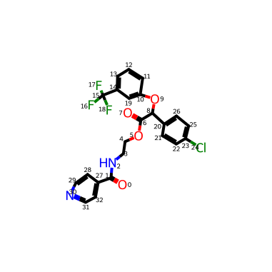 O=C(NCCOC(=O)C(Oc1cccc(C(F)(F)F)c1)c1ccc(Cl)cc1)c1ccncc1